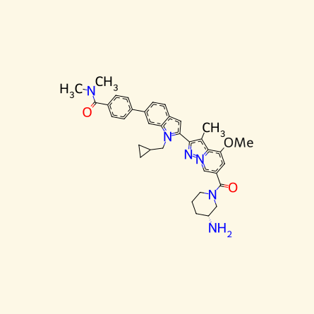 COc1cc(C(=O)N2CCC[C@@H](N)C2)cn2nc(-c3cc4ccc(-c5ccc(C(=O)N(C)C)cc5)cc4n3CC3CC3)c(C)c12